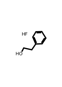 F.OCCc1ccccc1